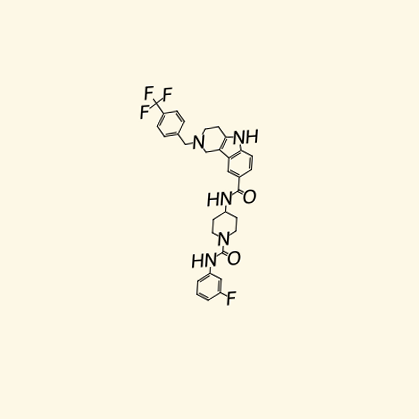 O=C(NC1CCN(C(=O)Nc2cccc(F)c2)CC1)c1ccc2[nH]c3c(c2c1)CN(Cc1ccc(C(F)(F)F)cc1)CC3